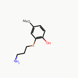 COc1ccc(O)c(SCCCN)c1